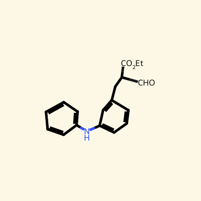 CCOC(=O)C(C=O)Cc1cccc(Nc2ccccc2)c1